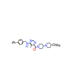 COC1CCN(C2CCN(C(=O)c3ncnc(NCc4ccc(C(C)C)cc4)c3C)CC2)CC1